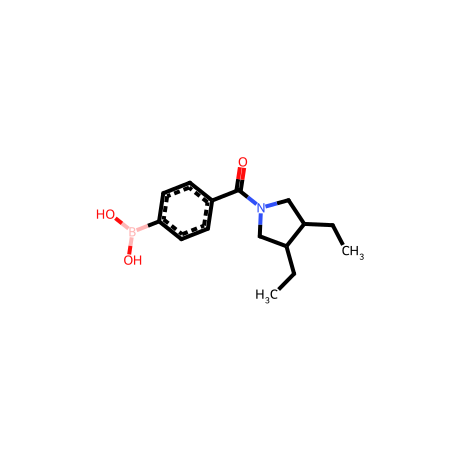 CCC1CN(C(=O)c2ccc(B(O)O)cc2)CC1CC